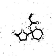 C=CC(=O)OC1(C2CCC(=O)O2)CCOCC1